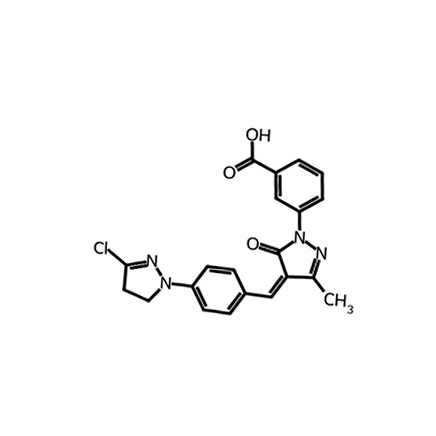 CC1=NN(c2cccc(C(=O)O)c2)C(=O)/C1=C\c1ccc(N2CCC(Cl)=N2)cc1